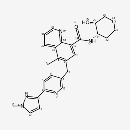 Cc1c(Cc2ccc(-c3ccn(C)n3)nc2)cc(C(=O)N[C@H]2CCOC[C@@H]2O)c2ncccc12